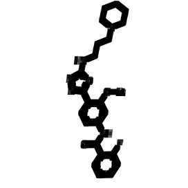 CCOc1cc(NC(=O)c2ccccc2F)ccc1-c1nnc(NCCCN2CCCCC2)o1